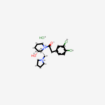 Cl.O=C(Cc1ccc(Cl)c(Cl)c1)N1CCC[C@@H](O)[C@H]1CN1CCCC1